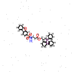 O=C(CCNS(=O)(=O)c1ccc2c(c1)oc1ccccc12)OCCC[PH](c1ccccc1)(c1ccccc1)c1ccccc1